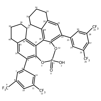 O=P1(O)Oc2c(-c3cc(C(F)(F)F)cc(C(F)(F)F)c3)cc3c(c2-c2c4c(cc(-c5cc(C(F)(F)F)cc(C(F)(F)F)c5)c2O1)CCCC4)CCCC3